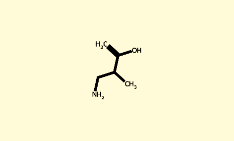 C=C(O)C(C)CN